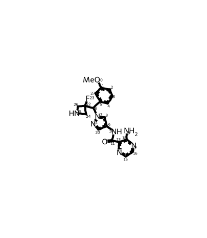 COc1cccc(C(n2cc(NC(=O)c3nccnc3N)cn2)C2(F)CNC2)c1